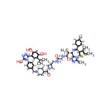 C=C(C(=O)NCC(=O)NCC1CN(C(=O)C2CCN(Cc3ccc(-n4c(O)nnc4-c4cc(C(C)C)c(O)cc4O)cc3)CC2)C1)[C@@H]1N=C(c2ccc(Cl)cc2)c2c(sc(C)c2C)-n2c(C)nnc21